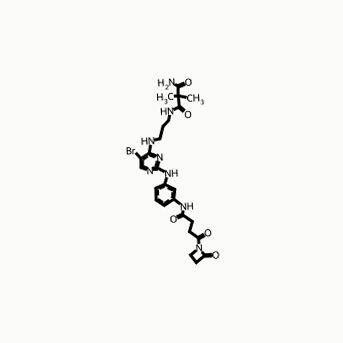 CC(C)(C(N)=O)C(=O)NCCCNc1nc(Nc2cccc(NC(=O)CCC(=O)N3CCC3=O)c2)ncc1Br